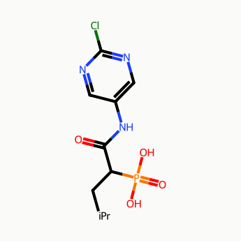 CC(C)CC(C(=O)Nc1cnc(Cl)nc1)P(=O)(O)O